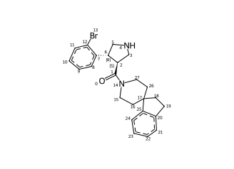 O=C([C@@H]1CNC[C@H]1c1ccccc1Br)N1CCC2(CCc3ccccc32)CC1